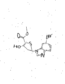 COC(=O)C1=C(O)CC(n2cnc3ccc(Br)cc32)S1